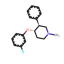 CN1CC[C@H](Oc2cccc(F)c2)[C@@H](c2ccccc2)C1